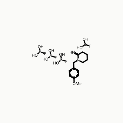 COc1ccc(CN2CCCCC2=N)cc1.OB(O)F.OB(O)F.OB(O)F.OB(O)F